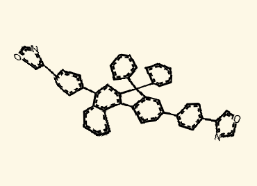 c1ccc(C2(c3ccccc3)c3cc(-c4ccc(-c5cocn5)cc4)ccc3-c3c2cc(-c2ccc(-c4cocn4)cc2)c2ccccc32)cc1